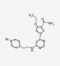 CCOc1cc(-c2cc(NCCc3ccc(Br)cc3)ncn2)sc1C(N)=O